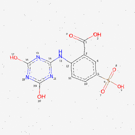 O=C(O)c1cc(S(=O)(=O)O)ccc1Nc1nc(O)nc(O)n1